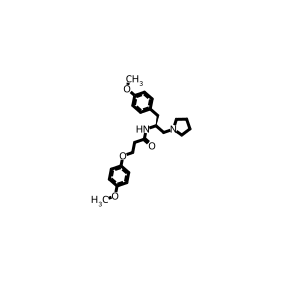 COc1ccc(C[C@@H](CN2CCCC2)NC(=O)CCOc2ccc(OC)cc2)cc1